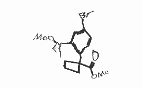 CONc1cc(Br)ccc1C1(C(=O)OC)CCC1